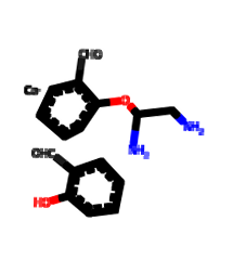 NCC(N)Oc1ccccc1C=O.O=Cc1ccccc1O.[Co]